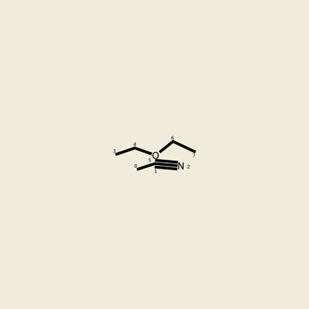 CC#N.CCOCC